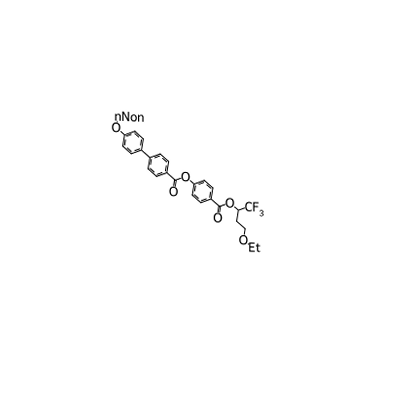 CCCCCCCCCOc1ccc(-c2ccc(C(=O)Oc3ccc(C(=O)OC(CCOCC)C(F)(F)F)cc3)cc2)cc1